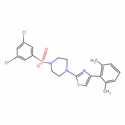 Cc1cccc(C)c1-c1csc(N2CCN(S(=O)(=O)c3cc(Cl)cc(Cl)c3)CC2)n1